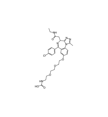 CCNC(=O)CC1N=C(c2ccc(Cl)cc2)c2cc(OCCOCCOCCNC(=O)O)ccc2-n2c(C)nnc21